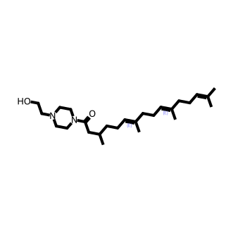 CC(C)=CCC/C(C)=C/CC/C(C)=C/CCC(C)CC(=O)N1CCN(CCO)CC1